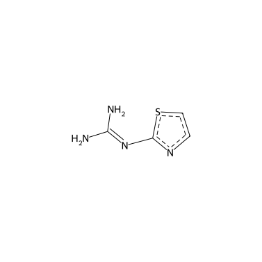 NC(N)=Nc1nccs1